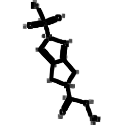 CCS(=O)(=O)n1cc2c(n1)CN(C(=O)OC(C)(C)C)C2